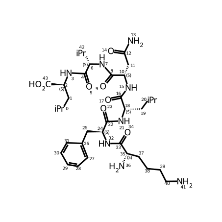 CC(C)C[C@H](NC(=O)[C@@H](NC(=O)[C@H](CC(N)=O)NC(=O)[C@H](CC(C)C)NC(=O)[C@H](Cc1ccccc1)NC(=O)[C@@H](N)CCCCN)C(C)C)C(=O)O